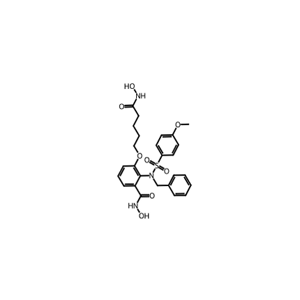 COc1ccc(S(=O)(=O)N(Cc2ccccc2)c2c(OCCCCC(=O)NO)cccc2C(=O)NO)cc1